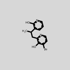 CC(C)c1ccnc(CC(C)c2cccnc2O)c1O